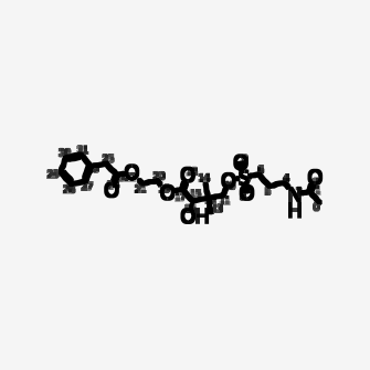 CC(=O)NCCCS(=O)(=O)OCC(C)(C)[C@@H](O)C(=O)OCCOC(=O)Cc1ccccc1